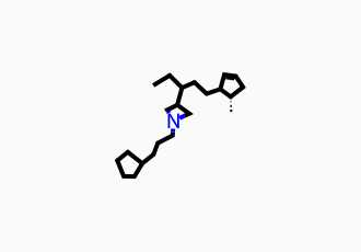 CCC(CCC1C=CC[C@@H]1C)C1CN(CCCC2CCCC2)C1